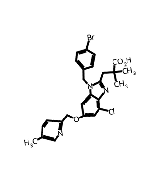 Cc1ccc(COc2cc(Cl)c3nc(CC(C)(C)C(=O)O)n(Cc4ccc(Br)cc4)c3c2)nc1